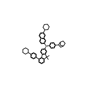 CC1(C)c2cc(N(c3ccc(C4CC5CCC4C5)cc3)c3ccc4ccc(C5CCCCC5)cc4c3)ccc2-c2c(-c3ccc(C4CCCCC4)cc3)cccc21